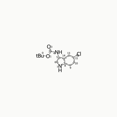 CC(C)(C)OC(=O)Nc1c[nH]c2ccc(Cl)cc12